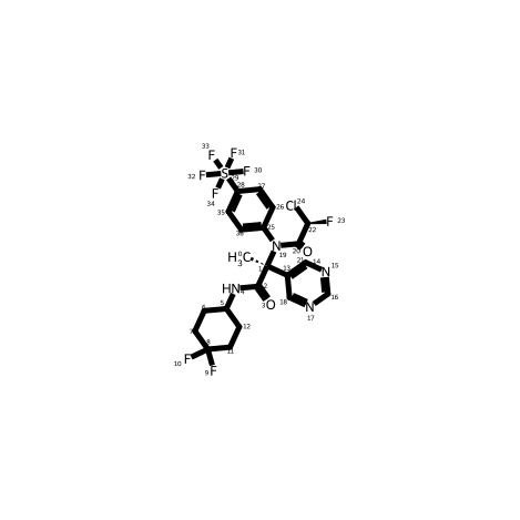 C[C@@](C(=O)NC1CCC(F)(F)CC1)(c1cncnc1)N(C(=O)[C@H](F)Cl)c1ccc(S(F)(F)(F)(F)F)cc1